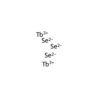 [Se-2].[Se-2].[Se-2].[Tb+3].[Tb+3]